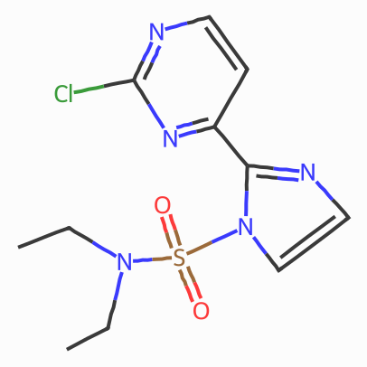 CCN(CC)S(=O)(=O)n1ccnc1-c1ccnc(Cl)n1